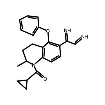 CC1CCc2c(ccc(C(=N)C=N)c2Oc2ccccc2)N1C(=O)C1CC1